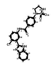 O=C(Nc1ccc(Cl)c(-c2nc3ccccc3[nH]2)c1)c1ccc(N2CCNS2(=O)=O)cc1